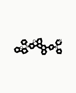 c1ccc(N(c2ccncc2)c2ccc(-c3cc4c5cccc6c5c(cc4c4ccccc34)-c3ccc(N(c4ccccc4)c4cccc5c4oc4ccccc45)cc3O6)cc2)cc1